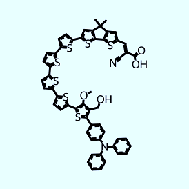 COc1c(-c2ccc(-c3ccc(-c4ccc(-c5ccc(-c6cc7c(s6)-c6sc(/C=C(\C#N)C(=O)O)cc6C7(C)C)s5)s4)s3)s2)sc(-c2ccc(N(c3ccccc3)c3ccccc3)cc2)c1CO